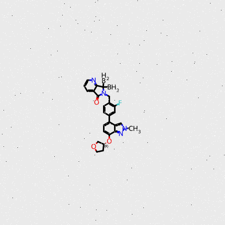 BC1(B)c2ncccc2C(=O)N1Cc1ccc(-c2ccc(O[C@@H]3CCOC3)c3nn(C)cc23)cc1F